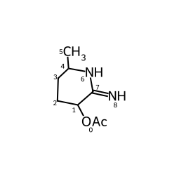 CC(=O)OC1CCC(C)NC1=N